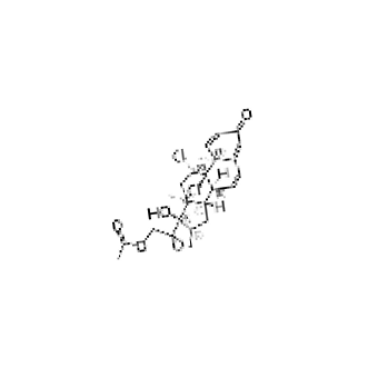 CC(=O)OCC(=O)[C@@]1(O)[C@H](C)C[C@H]2[C@@H]3C=CC4=CC(=O)C=C[C@]4(C)[C@@]3(Cl)[C@@H](Cl)C[C@@]21C